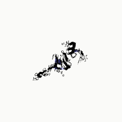 CC(C)(O/N=C(\C(=O)N[C@@H]1C(=O)N2C(C(=O)O)=C(C[N+]3=C/C(N)=C(NCCNC(=O)c4cc(=O)c(O)cn4O)\C=C\C=C\3)CSC12)C1=CSC(N)=CC=C1)C(=O)O